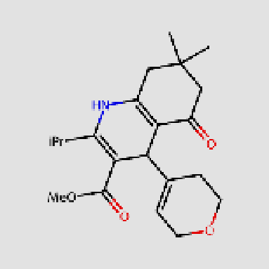 COC(=O)C1=C(C(C)C)NC2=C(C(=O)CC(C)(C)C2)C1C1=CCOCC1